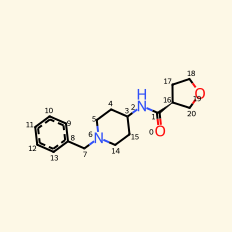 O=C(NC1CCN(Cc2ccccc2)CC1)[C@H]1CCOC1